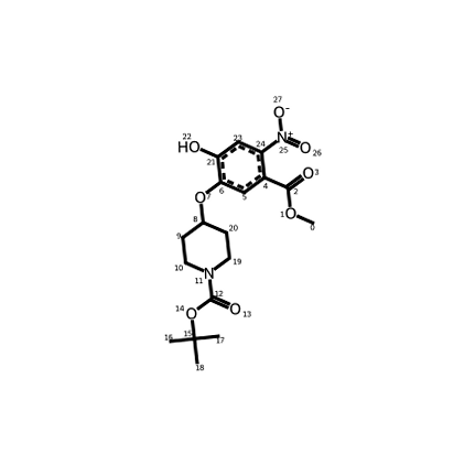 COC(=O)c1cc(OC2CCN(C(=O)OC(C)(C)C)CC2)c(O)cc1[N+](=O)[O-]